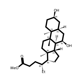 CC[C@H](CCC(=O)OC)[C@H]1CC[C@H]2[C@@H]3[C@H](O)C[C@@H]4C[C@H](O)CC[C@]4(C)[C@@]3(C)CC[C@]12C